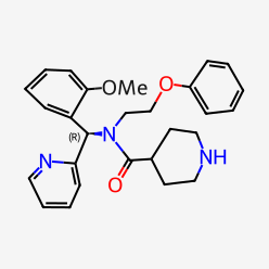 COc1ccccc1[C@H](c1ccccn1)N(CCOc1ccccc1)C(=O)C1CCNCC1